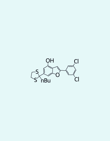 CCCCC1(c2cc(O)c3cc(-c4cc(Cl)cc(Cl)c4)oc3c2)SCCS1